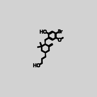 C=C1C[C@@H](CCCO)CC(C)(C)[C@H]1Cc1cc(OC)c(Br)cc1O